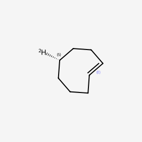 [2H][C@@H]1CC/C=C/CCC1